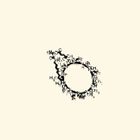 CC[C@H]1NC(=O)[C@H]([C@H](O)[C@H](C)CCCCCCNC(=O)OC(C)(C)C)N(C)C(=O)[C@@H](C(C)C)N(C)C(=O)[C@@H](CCC(C)C)N(C)C(=O)[C@H](CC(C)C)N(C)C(=O)[C@H](C)NC(=O)[C@@H](C)NC(=O)[C@@H](CC(C)C)N(C)C(=O)[C@@H](C(C)C)NC(=O)[C@H](CC(C)C)N(C)C(=O)[C@@H](CSC(C)(C)CCC(=O)OC)N(C)C1=O